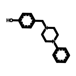 Oc1ccc(CN2CCN(c3ccccc3)CC2)cc1